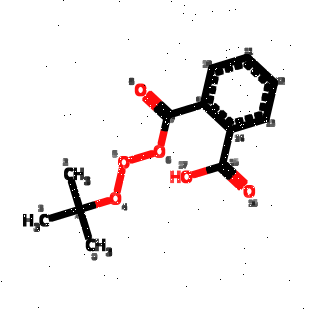 CC(C)(C)OOOC(=O)c1ccccc1C(=O)O